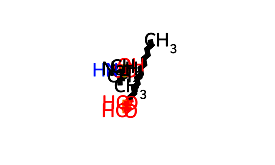 CCCCCCCCCCCCCOP(=O)(O)O.CCCS(=O)(=O)O.CNC.[NaH]